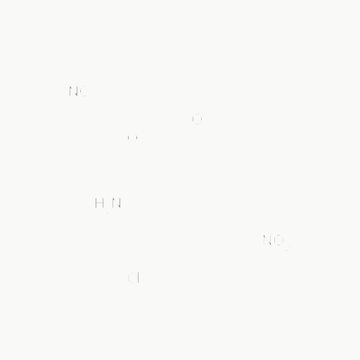 N#CCOC(=O)c1cc([N+](=O)[O-])cc(Cl)c1N